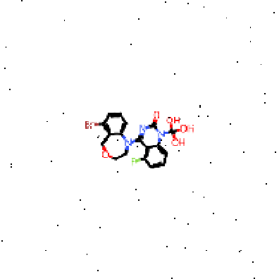 O=c1nc(N2CCOCc3c(Br)cccc32)c2c(F)cccc2n1C(O)(O)O